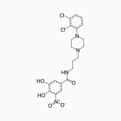 O=C(NCCCN1CCN(c2cccc(Cl)c2Cl)CC1)c1cc(O)c(O)c([N+](=O)[O-])c1